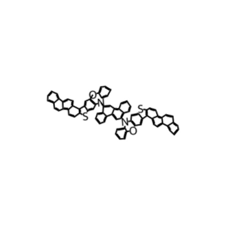 c1ccc2c(c1)Oc1cc3c(cc1N2c1cc2c4ccccc4c(N4c5ccccc5Oc5cc6c(cc54)sc4ccc5c7ccc8ccccc8c7ccc5c46)cc2c2ccccc12)sc1ccc2c4ccc5ccccc5c4ccc2c13